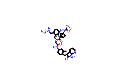 CNCc1ccccc1CN(CC(=O)Nc1ccc2c(c1)C[C@@]1(C2)C(=O)Nc2ncccc21)C(=O)[C@@H]1CC2(NC(C)=O)CC1C2